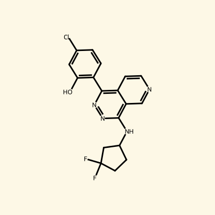 Oc1cc(Cl)ccc1-c1nnc(NC2CCC(F)(F)C2)c2cnccc12